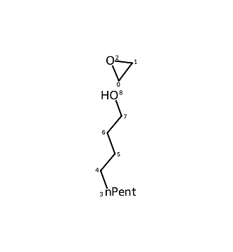 C1CO1.CCCCCCCCCO